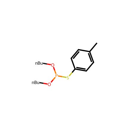 CCCCOP(OCCCC)Sc1ccc(C)cc1